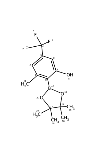 Cc1cc(C(F)(F)F)cc(O)c1B1OC(C)(C)C(C)(C)O1